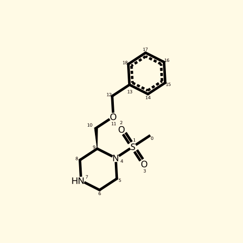 CS(=O)(=O)N1CCNC[C@H]1COCc1ccccc1